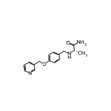 C[C@H](NCc1ccc(OCc2cccnc2)cc1)C(N)=O